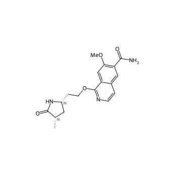 COc1cc2c(OCC[C@@H]3C[C@H](C)C(=O)N3)nccc2cc1C(N)=O